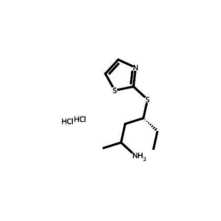 CC[C@H](CC(C)N)Sc1nccs1.Cl.Cl